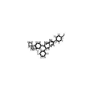 Cc1ccc(-c2cn3cc(-c4ccccc4)c(-c4ccc(C5(N)CCC5)cc4)nc3n2)cc1